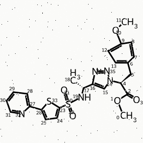 COC(=O)[C@H](Cc1ccc(OC)cc1)n1cc([C@@H](C)NS(=O)(=O)c2ccc(-c3ccccn3)s2)nn1